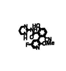 COc1ncc(F)cc1-c1c(C#N)ccc(O)c1C(=O)NC1=NCCCN1